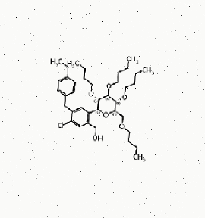 CCCCOC[C@H]1O[C@@H](c2cc(Cc3ccc(CC)cc3)c(Cl)cc2CO)[C@H](OCCCC)[C@@H](OCCCC)[C@@H]1OCCCC